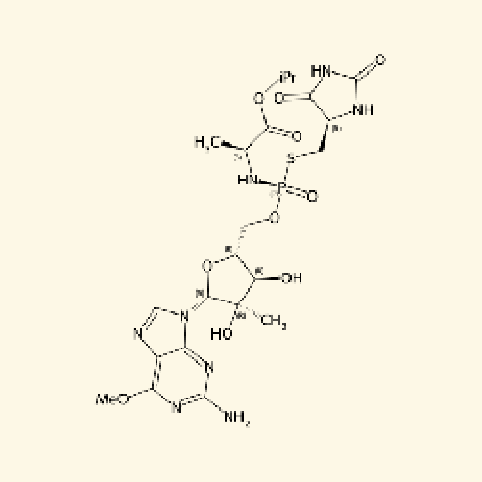 COc1nc(N)nc2c1ncn2[C@@H]1O[C@H](CO[P@](=O)(N[C@@H](C)C(=O)OC(C)C)SC[C@@H]2NC(=O)NC2=O)[C@@H](O)[C@@]1(C)O